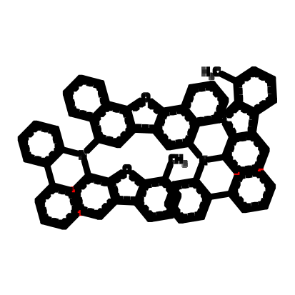 Cc1cccc2c1oc1c(N(c3ccccc3-c3ccccc3)c3cc4c5cc(N(c6ccccc6-c6ccccc6)c6cccc7c6oc6c(C)cccc67)c6ccccc6c5oc4c4ccccc34)cccc12